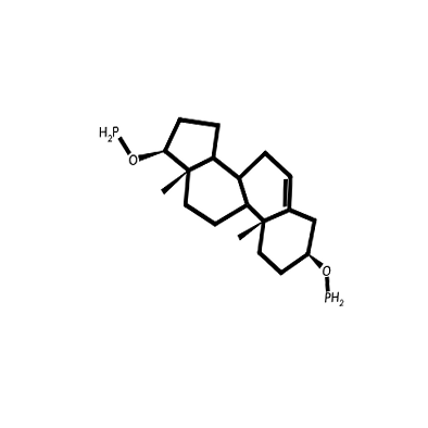 C[C@]12CC[C@H](OP)CC1=CCC1C2CC[C@@]2(C)C1CC[C@@H]2OP